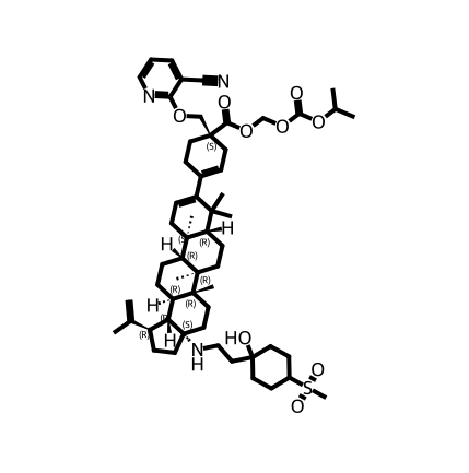 C=C(C)[C@@H]1CC[C@]2(NCCC3(O)CCC(S(C)(=O)=O)CC3)CC[C@]3(C)[C@H](CC[C@@H]4[C@@]5(C)CC=C(C6=CC[C@@](COc7ncccc7C#N)(C(=O)OCOC(=O)OC(C)C)CC6)C(C)(C)[C@@H]5CC[C@]43C)[C@@H]12